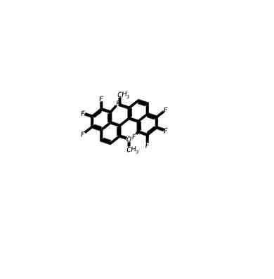 CCc1ccc2c(F)c(F)c(F)c(F)c2c1-c1c(OC)ccc2c(F)c(F)c(F)c(F)c12